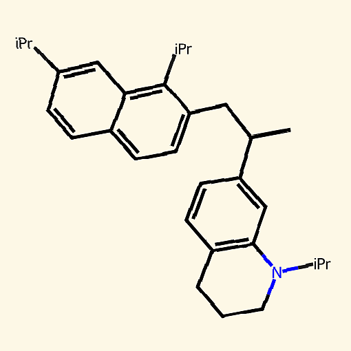 CC(C)c1ccc2ccc(CC(C)c3ccc4c(c3)N(C(C)C)CCC4)c(C(C)C)c2c1